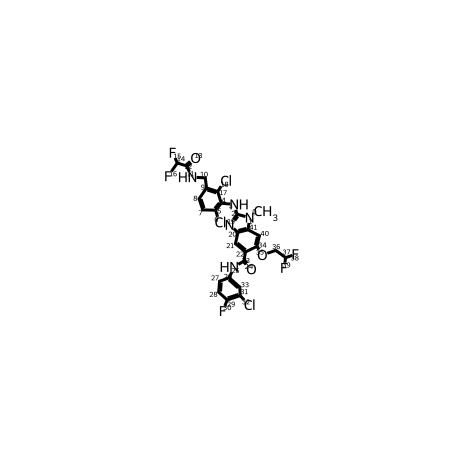 Cn1c(Nc2c(Cl)ccc(CNC(=O)C(F)F)c2Cl)nc2cc(C(=O)Nc3ccc(F)c(Cl)c3)c(OCC(F)F)cc21